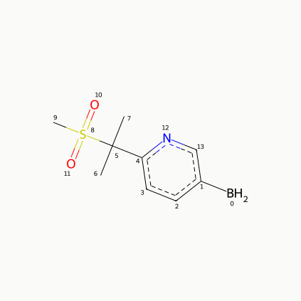 Bc1ccc(C(C)(C)S(C)(=O)=O)nc1